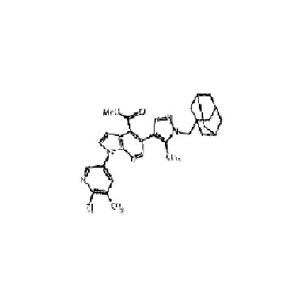 COC(=O)c1c(-c2cnn(CC34CC5CC(CC(C5)C3)C4)c2C)cnc2c1ccn2-c1cnc(Cl)c(C)c1